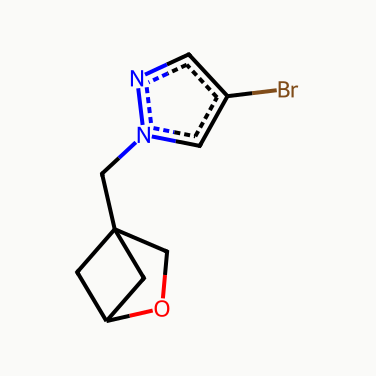 Brc1cnn(CC23COC(C2)C3)c1